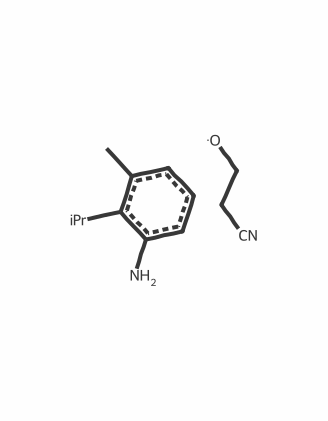 Cc1cccc(N)c1C(C)C.N#CCC[O]